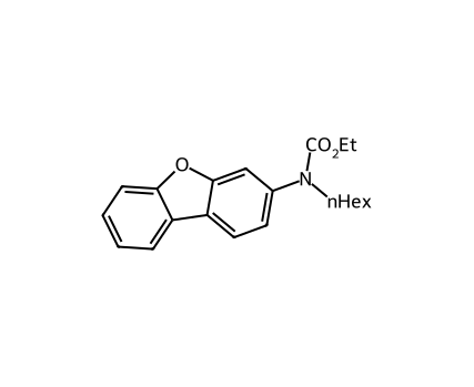 CCCCCCN(C(=O)OCC)c1ccc2c(c1)oc1ccccc12